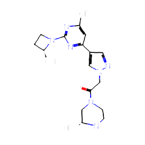 C[C@H]1CN(C(=O)Cn2cc(-c3cc(C(F)(F)F)nc(N4CC[C@@H]4C)n3)cn2)CCN1